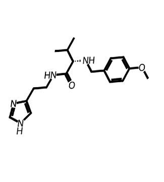 COc1ccc(CN[C@H](C(=O)NCCc2c[nH]cn2)C(C)C)cc1